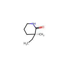 CC[C@@]1(C)CCCNC1=O